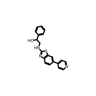 OC(CNc1nc2ccc(-c3ccncc3)cc2s1)c1ccccc1